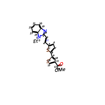 CCn1c(/C=C/c2ccc(-c3cc(C(=O)OC)cs3)s2)nc2ccccc21